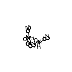 O=C(NN=Cc1ccc2ncccc2c1)c1ccc2ccc3ccc(C(=O)NN=Cc4ccc5ncccc5c4)nc3c2n1